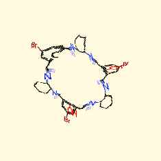 Oc1c2cc(Br)cc1/C=N/C1CCCCC1/N=C/c1cc(Br)cc(c1O)/C=N/C1CCCCC1/N=C/c1cc(Br)cc(c1)/C=N/C1CCCCC1/N=C/2